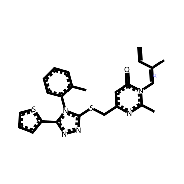 C=C/C(C)=C\n1c(C)nc(CSc2nnc(-c3cccs3)n2-c2ccccc2C)cc1=O